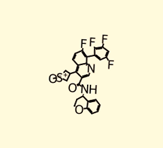 O=C(N[C@H]1CCOc2ccccc21)c1cnc2c(-c3cc(F)cc(F)c3F)c(F)ccc2c1C1C[S+]([O-])C1